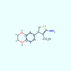 CCOC(=O)C1=C(N)SCC1c1ccc2c(c1)OCCO2